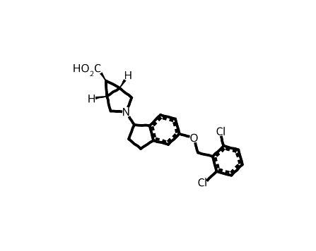 O=C(O)[C@H]1[C@@H]2CN(C3CCc4cc(OCc5c(Cl)cccc5Cl)ccc43)C[C@@H]21